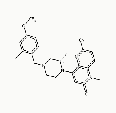 Cc1cc(OC(F)(F)F)ccc1CN1CCN(c2cc(=O)n(C)c3ccc(C#N)nc23)[C@@H](C)C1